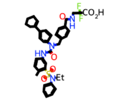 CCN(c1ccccc1)S(=O)(=O)c1cc(NC(=O)N(Cc2ccc(C(=O)NCC(F)(F)C(=O)O)cc2)c2ccc(C3=CCCCC3)cc2)ccc1C